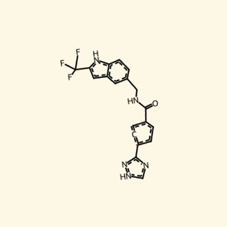 O=C(NCc1ccc2[nH]c(C(F)(F)F)cc2c1)c1ccc(-c2nc[nH]n2)cc1